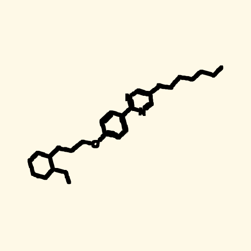 CCCCCCCc1cnc(-c2ccc(OCCCC3CCCCC3CC)cc2)nc1